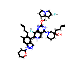 C=CCCc1c(C)cc2c(cnn2C2CCCCO2)c1-c1ncc2c(N3CCCC(O)(CCC=C)C3)nc(OC[C@@]34CCCN3C[C@H](F)C4)nc2c1F